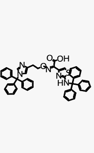 O=C(O)C(=NOCCc1cn(C(c2ccccc2)(c2ccccc2)c2ccccc2)cn1)c1csc(NC(c2ccccc2)(c2ccccc2)c2ccccc2)n1